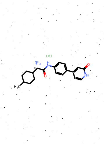 CC1CCC([C@H](N)C(=O)Nc2ccc(-c3cc[nH]c(=O)c3)cc2)CC1.Cl